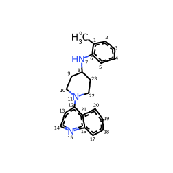 Cc1ccccc1NC1CCN(c2ccnc3ccccc23)CC1